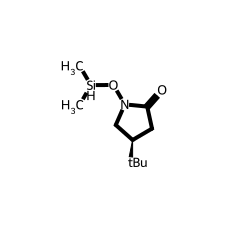 C[SiH](C)ON1C[C@H](C(C)(C)C)CC1=O